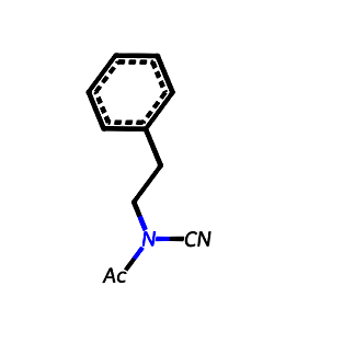 CC(=O)N(C#N)CCc1ccccc1